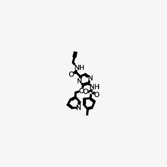 C#CCNC(=O)c1cnc(NS(=O)(=O)c2ccc(C)cc2)c(OCc2cccnc2)n1